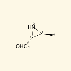 C[C@@H]1N[C@H]1C=O